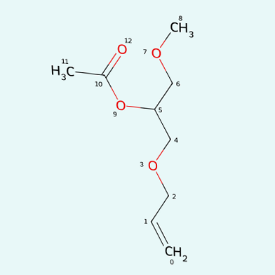 C=CCOCC(COC)OC(C)=O